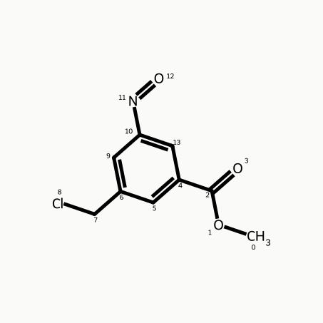 COC(=O)c1cc(CCl)cc(N=O)c1